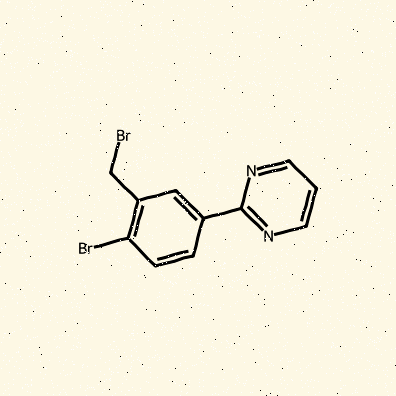 BrCc1cc(-c2ncccn2)ccc1Br